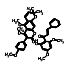 COc1cc(O)c(C(=O)C=Cc2ccccc2)c(OC)c1.COc1ccc(-c2c(OC)c3c(OC)c4c(cc3oc2=O)OC(C)(C)C=C4)cc1